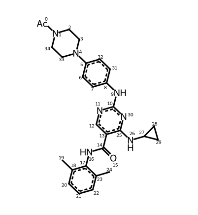 CC(=O)N1CCN(c2ccc(Nc3ncc(C(=O)Nc4c(C)cccc4C)c(NC4CC4)n3)cc2)CC1